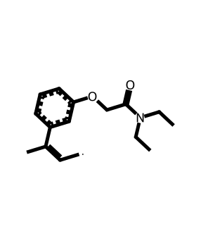 [CH2]/C=C(/C)c1cccc(OCC(=O)N(CC)CC)c1